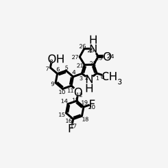 Cc1[nH]c(-c2cc(CO)ccc2Oc2ccc(F)cc2F)c2c1C(=O)NCC2